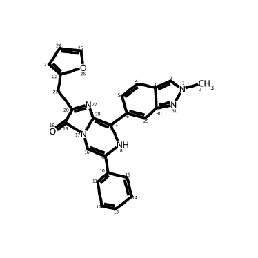 Cn1cc2ccc(-c3[nH]c(-c4ccccc4)cn4c(=O)c(Cc5ccco5)nc3-4)cc2n1